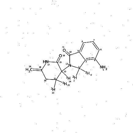 [2H]C1([2H])c2c(N)cccc2C(=O)N1C1([2H])C(=O)NC(=C)CC1([2H])[2H]